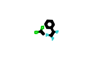 C=C(Cl)Cl.FC(F)=C(F)c1ccccc1